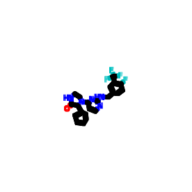 O=C1NCCN(c2ccnc(NCc3ccc(F)c(C(F)(F)F)c3)n2)C1c1ccccc1